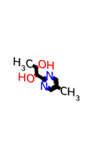 Cc1cnc(C(O)C(C)O)nc1